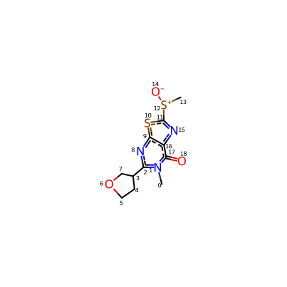 Cn1c(C2CCOC2)nc2sc([S+](C)[O-])nc2c1=O